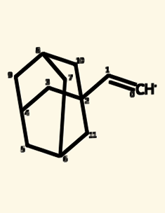 [CH]=CC12CC3CC(CC(C3)C1)C2